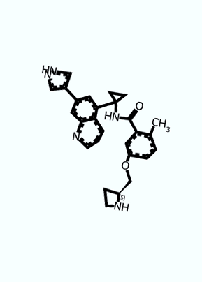 Cc1ccc(OC[C@@H]2CCN2)cc1C(=O)NC1(c2cc(-c3cn[nH]c3)cc3ncccc23)CC1